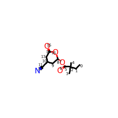 CCC(C)(C)C(=O)OC1CC(C#N)CC(=O)O1